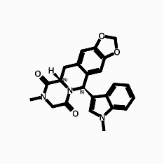 CN1CC(=O)N2[C@H](c3cn(C)c4ccccc34)c3cc4c(cc3C[C@H]2C1=O)OCO4